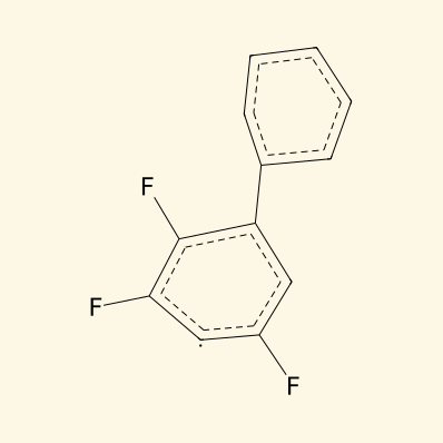 Fc1[c]c(F)c(F)c(-c2ccccc2)c1